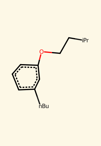 CCCCc1cccc(OCCC(C)C)c1